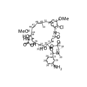 COc1cc2cc(c1Cl)N(C)C(=O)C[C@H](OC(=O)[C@H](C)N(C)C(=O)c1cccc(N)c1)[C@]1(C)O[C@H]1[C@H](C)[C@@H]1C[C@@](O)(NC(=O)O1)[C@H](OC)/C=C/C=C(\C)C2